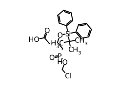 CC(C)(C)[Si](O[C@@H](CC(=O)O)C[PH](=O)OCCl)(c1ccccc1)c1ccccc1